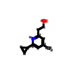 OCCc1cc(C(F)(F)F)cc(C2CC2)n1